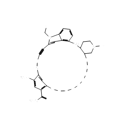 CNC(=O)c1cc(OC)c2cc1OCCOCCOCCC1CN(C)CCC1Nc1cccc3c1cc(n3CC(F)(F)F)C#CCN2